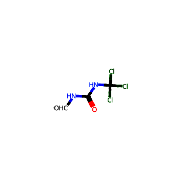 O=[C]NC(=O)NC(Cl)(Cl)Cl